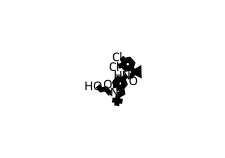 CC(C)(C)c1cc2cc(NC(=O)C3(c4ccc(Cl)c(Cl)c4)CC3)ccc2n1C[C@@H](O)CO